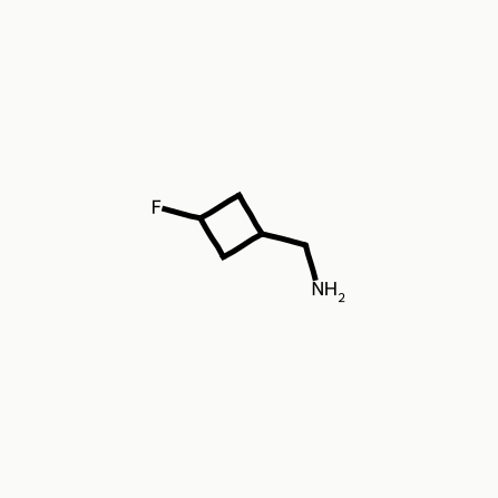 NCC1CC(F)C1